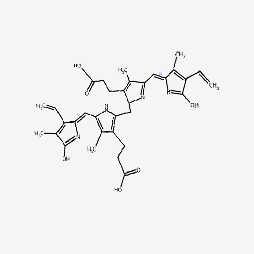 C=CC1=C(C)/C(=C/C2=NC(Cc3[nH]c(/C=C4\N=C(O)C(C)=C4C=C)c(C)c3CCC(=O)O)C(CCC(=O)O)=C2C)N=C1O